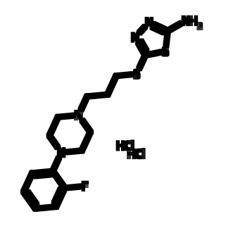 Cl.Cl.Nc1nnc(SCCCN2CCN(c3ccccc3F)CC2)s1